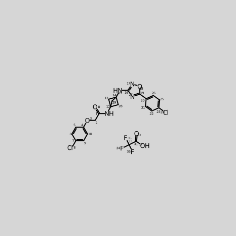 O=C(COc1ccc(Cl)cc1)NC12CC(Nc3noc(-c4ccc(Cl)cc4)n3)(C1)C2.O=C(O)C(F)(F)F